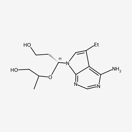 CCc1cn([C@@H](CCO)OC(C)CO)c2ncnc(N)c12